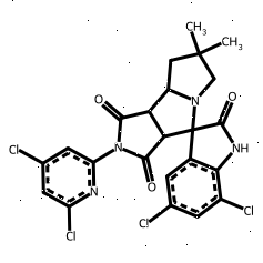 CC1(C)CC2C3C(=O)N(c4cc(Cl)cc(Cl)n4)C(=O)C3C3(C(=O)Nc4c(Cl)cc(Cl)cc43)N2C1